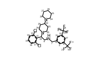 FC(F)(F)c1cc(CNCC(c2c(Cl)cccc2Cl)N2CCC(N3CCCCC3)CC2)cc(C(F)(F)F)c1